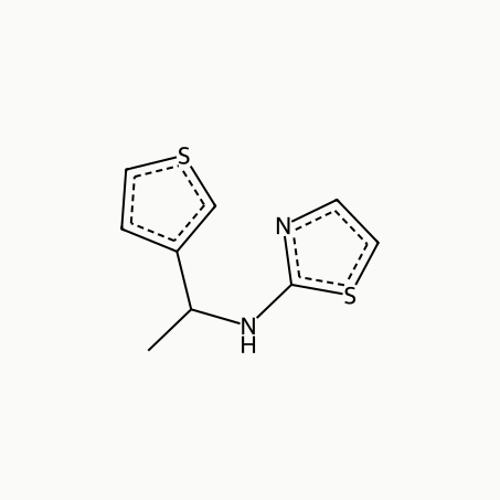 CC(Nc1nccs1)c1ccsc1